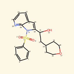 O=S(=O)(c1ccccc1)n1c(C(O)CC2CCOCC2)cc2cccnc21